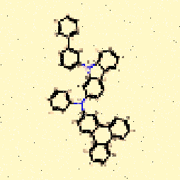 c1ccc(-c2cccc(-n3c4ccccc4c4ccc(N(c5ccccc5)c5ccc6c7ccccc7c7ccccc7c6c5)cc43)c2)cc1